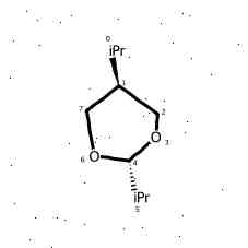 CC(C)[C@H]1CO[C@H](C(C)C)OC1